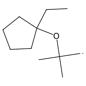 [CH2]C(C)(C)OC1(CC)CCCC1